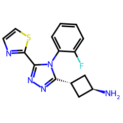 N[C@H]1C[C@H](c2nnc(-c3nccs3)n2-c2ccccc2F)C1